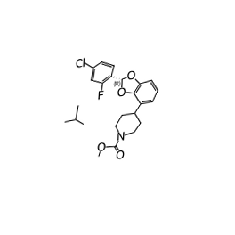 CC(C)C.COC(=O)N1CCC(c2cccc3c2O[C@H](c2ccc(Cl)cc2F)O3)CC1